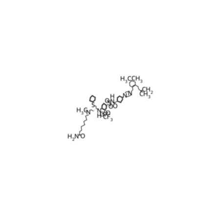 C=C(C)CCC1=C(CN2CCN(c3ccc(C(=O)NS(=O)(=O)c4ccc(N[C@H](CCN(C)CCCCCCCCC(N)=O)CSc5ccccc5)c(S(=O)(=O)C(F)(F)F)c4)cc3)CC2)CCC(C)(C)C1